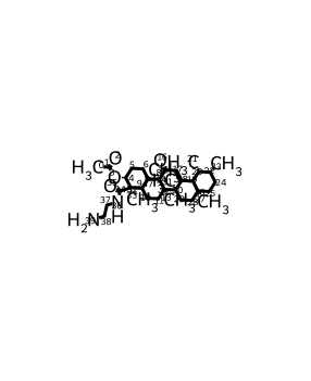 CC(=O)O[C@@H]1CC[C@@]2(C)C(CC[C@]3(C)C2C(=O)C=C2C4[C@@H](C)[C@H](C)CC[C@]4(C)CC[C@]23C)[C@@]1(C)C(=O)NCCN